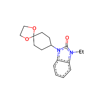 CCn1c(=O)n(C2CCC3(CC2)OCCO3)c2ccccc21